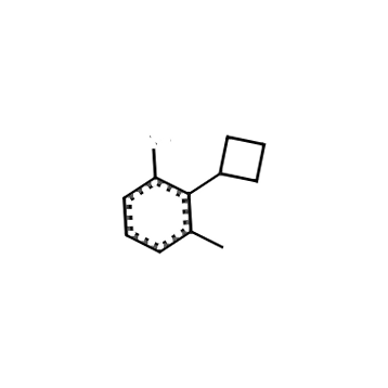 Cc1cccc(N=O)c1C1CCC1